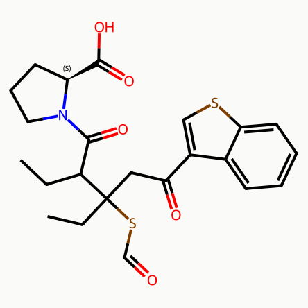 CCC(C(=O)N1CCC[C@H]1C(=O)O)C(CC)(CC(=O)c1csc2ccccc12)SC=O